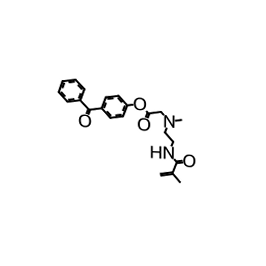 C=C(C)C(=O)NCCN(C)CC(=O)Oc1ccc(C(=O)c2ccccc2)cc1